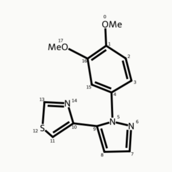 COc1ccc(-n2nccc2-c2cscn2)cc1OC